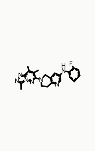 Cc1c(N2CCc3ncc(Nc4ccccc4F)cc3C2)nn2c(C)nnc2c1C